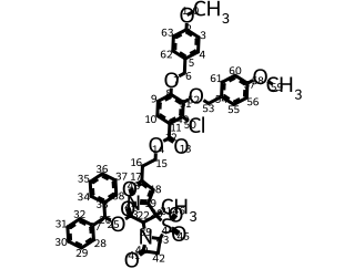 COc1ccc(COc2ccc(C(=O)OCCc3cc(C4(C)C(C(=O)OC(c5ccccc5)c5ccccc5)N5C(=O)CC5S4(=O)=O)no3)c(Cl)c2OCc2ccc(OC)cc2)cc1